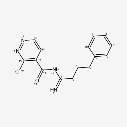 N=C(CCCc1ccccc1)NC(=O)c1ccnnc1Cl